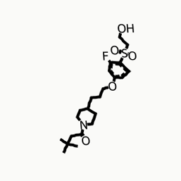 CC(C)(C)CC(=O)N1CCC(CCCOc2ccc(S(=O)(=O)CCO)c(F)c2)CC1